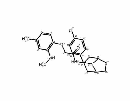 CNc1cc(C)ccc1OCC(=O)NC1CC2CCC(C1)N2Cc1ccc(Cl)cc1